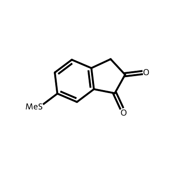 CSc1ccc2c(c1)C(=O)C(=O)C2